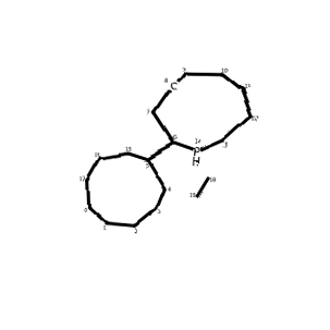 C1CCCCC(C2CCCCCCCP2)CCC1.CC